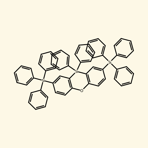 c1ccc([Si](c2ccccc2)(c2ccccc2)c2ccc3c(c2)[Si](c2ccccc2)(c2ccccc2)c2cc([Si](c4ccccc4)(c4ccccc4)c4ccccc4)ccc2O3)cc1